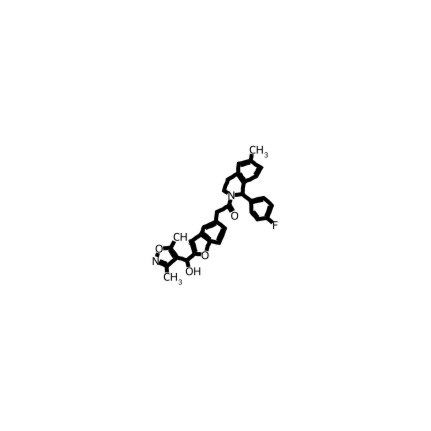 Cc1ccc2c(c1)CCN(C(=O)Cc1ccc3oc(C(O)c4c(C)noc4C)cc3c1)C2c1ccc(F)cc1